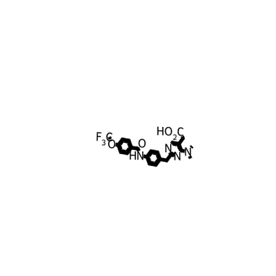 CN(C)c1nc(Cc2ccc(NC(=O)c3ccc(OC(F)(F)F)cc3)cc2)ncc1CC(=O)O